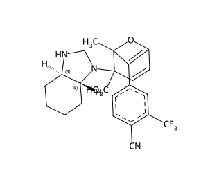 CC12OC(=C1c1ccc(C#N)c(C(F)(F)F)c1)C=CC2(C(=O)O)N1CN[C@@H]2CCCC[C@H]21